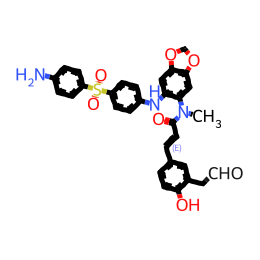 CN(C(=O)/C=C/c1ccc(O)c(CC=O)c1)c1cc2c(cc1Nc1ccc(S(=O)(=O)c3ccc(N)cc3)cc1)OCO2